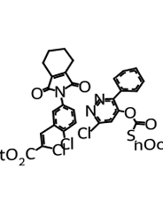 CCCCCCCCSC(=O)Oc1cc(Cl)nnc1-c1ccccc1.CCOC(=O)/C(Cl)=C/c1cc(N2C(=O)C3=C(CCCC3)C2=O)ccc1Cl